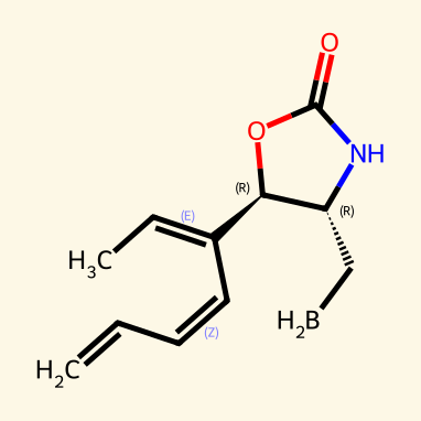 BC[C@H]1NC(=O)O[C@@H]1C(/C=C\C=C)=C/C